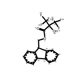 O=C(OCC1c2ccccc2-c2ccccc21)C(O)(C(F)(F)F)C(F)(F)F